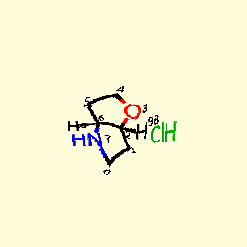 C1C[C@H]2OCC[C@H]2N1.Cl